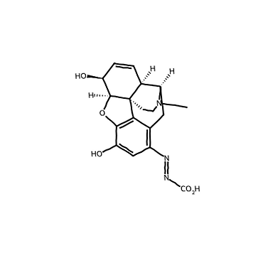 CN1CC[C@]23c4c5c(/N=N/C(=O)O)cc(O)c4O[C@H]2[C@@H](O)C=C[C@H]3[C@H]1C5